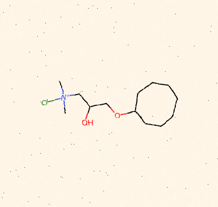 C[N+](C)(Cl)CC(O)COC1CCCCCCC1